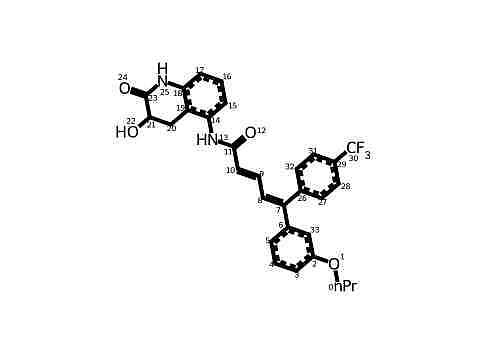 CCCOc1cccc(C(=CC=CC(=O)Nc2cccc3c2CC(O)C(=O)N3)c2ccc(C(F)(F)F)cc2)c1